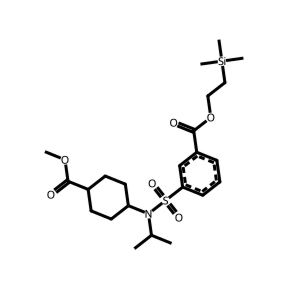 COC(=O)C1CCC(N(C(C)C)S(=O)(=O)c2cccc(C(=O)OCC[Si](C)(C)C)c2)CC1